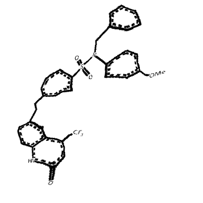 COc1ccc(N(Cc2ccccc2)S(=O)(=O)c2ccc(Cc3ccc4[nH]c(=O)cc(C(F)(F)F)c4c3)cc2)cc1